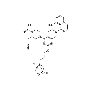 Cc1cccc2cccc(N3CCc4c(nc(OCCCN5C[C@@H]6C[C@H]5CO6)nc4N4CCN(C(=O)O)C(CC#N)C4)C3)c12